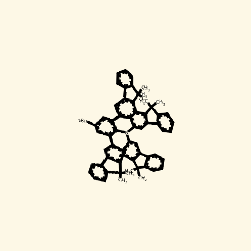 CC(C)(C)c1cc2c3c(c1)-c1cc4c(c5c6c(cc(c15)B3c1cc3c(c5c7c(cc-2c15)-c1ccccc1C7(C)C)C(C)(C)c1ccccc1-3)-c1ccccc1C6(C)C)C(C)(C)c1ccccc1-4